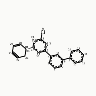 Clc1nc(-c2cccc(-c3ccccc3)c2)nc([C@H]2C=CC#CC2)n1